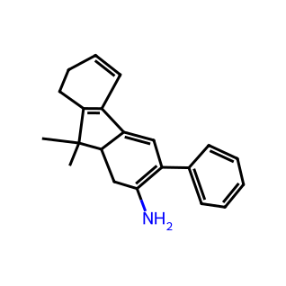 CC1(C)C2=C(C=CCC2)C2=CC(c3ccccc3)=C(N)CC21